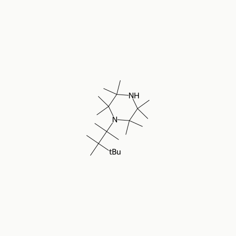 CC(C)(C)C(C)(C)C(C)(C)N1C(C)(C)C(C)(C)NC(C)(C)C1(C)C